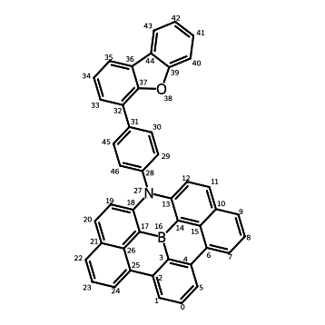 c1cc2c3c(c1)-c1cccc4ccc5c(c14)B3c1c(ccc3cccc-2c13)N5c1ccc(-c2cccc3c2oc2ccccc23)cc1